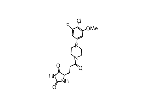 COc1cc(N2CCN(C(=O)CC[C@H]3NC(=O)NC3=O)CC2)cc(F)c1Cl